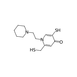 O=c1cc(CS)n(CCN2CCCCC2)cc1S